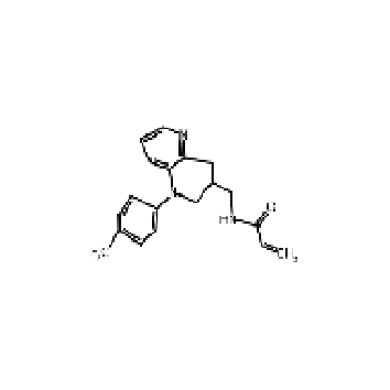 C=CC(=O)NCC1Cc2ncccc2N(c2ccc(C(F)(F)F)cc2)C1